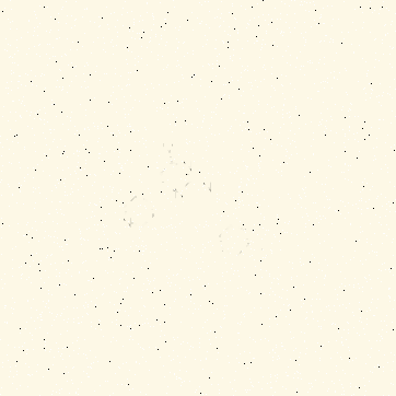 Cn1c(NCOc2cccc(Cl)c2)nc(-c2ccncc2)cc1=O